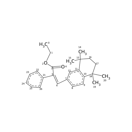 CCOC(=O)C(=Cc1ccc2c(c1)C(C)(C)CCC2(C)C)c1ccccc1